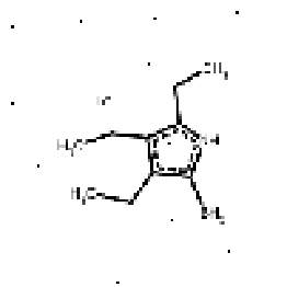 [BH3-]c1[nH]c(CC)c(CC)c1CC.[Li+]